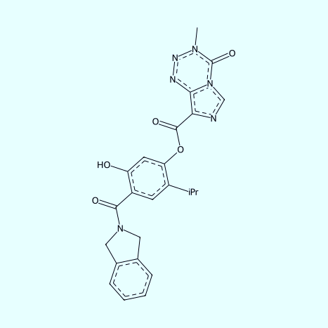 CC(C)c1cc(C(=O)N2Cc3ccccc3C2)c(O)cc1OC(=O)c1ncn2c(=O)n(C)nnc12